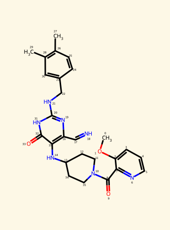 COc1cccnc1C(=O)N1CCC(Nc2c(C=N)nc(NCc3ccc(C)c(C)c3)[nH]c2=O)CC1